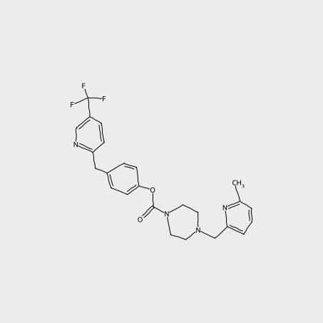 Cc1cccc(CN2CCN(C(=O)Oc3ccc(Cc4ccc(C(F)(F)F)cn4)cc3)CC2)n1